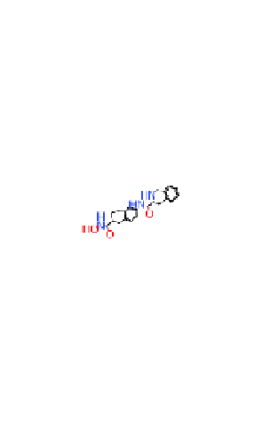 O=C(NO)C1CCc2cc(NC(=O)C3Cc4ccccc4CN3)ccc2C1